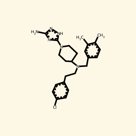 Cc1ccc(CN(CCc2ccc(Cl)cc2)C2CCN(c3nc(N)n[nH]3)CC2)cc1C